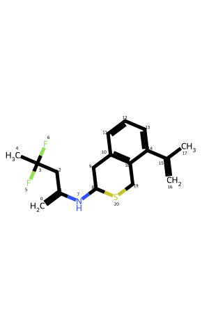 C=C(CC(C)(F)F)NC1Cc2cccc(C(=C)C)c2CS1